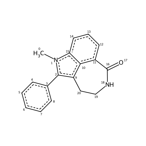 Cn1c(-c2ccccc2)c2c3c(cccc31)C(=O)NCC2